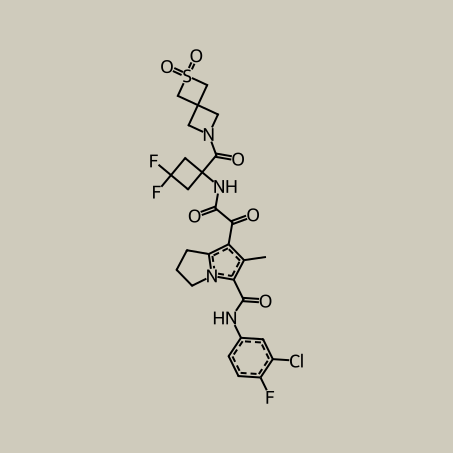 Cc1c(C(=O)C(=O)NC2(C(=O)N3CC4(C3)CS(=O)(=O)C4)CC(F)(F)C2)c2n(c1C(=O)Nc1ccc(F)c(Cl)c1)CCC2